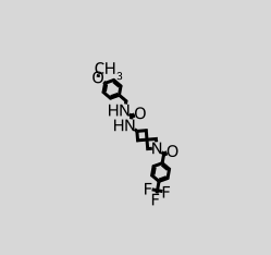 COc1ccc(CNC(=O)NC2CC3(C2)CN(C(=O)c2ccc(C(F)(F)F)cc2)C3)cc1